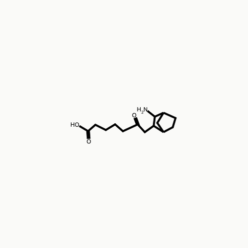 NC1C2CCC(C2)C1CC(=O)CCCCC(=O)O